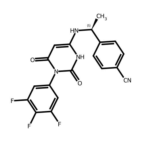 C[C@H](Nc1cc(=O)n(-c2cc(F)c(F)c(F)c2)c(=O)[nH]1)c1ccc(C#N)cc1